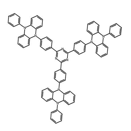 c1ccc(N2c3ccccc3N(c3ccc(-c4nc(-c5ccc(N6c7ccccc7N(c7ccccc7)c7ccccc76)cc5)nc(-c5ccc(N6c7ccccc7N(c7ccccc7)c7ccccc76)cc5)n4)cc3)c3ccccc32)cc1